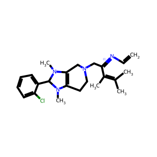 C=C/N=C(/CN1CCC2=C(C1)N(C)C(c1ccccc1Cl)N2C)C(C)=C(C)C